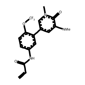 C=CC(=O)Nc1ccc(OC(F)(F)F)c(-c2cc(NC)c(=O)n(C)c2)c1